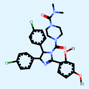 CCOc1ccc(C2=NC(c3ccc(Cl)cc3)C(c3ccc(Cl)cc3)N2C(=O)N2CCN(C(=O)N(C)C)CC2)c(OCC)c1